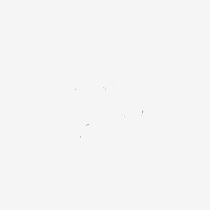 CC(C)O[C@H]1CC[C@H](N[C@H]2CCCC[C@@H]2Cc2ccc3c(c2)CN(C2CCC(=O)NC2=O)C3=O)CC1